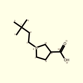 CC(C)(C)CCN1CCC(C(=O)O)C1